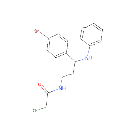 O=C(CCl)NCCC(Nc1ccccc1)c1ccc(Br)cc1